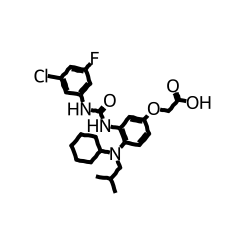 CC(C)CN(c1ccc(OCC(=O)O)cc1NC(=O)Nc1cc(F)cc(Cl)c1)C1CCCCC1